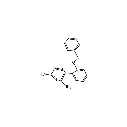 Nc1nnc(-c2ccccc2OCc2ccccc2)c(N)n1